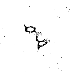 Cc1ccc(NCC2NCC3CC32)nc1